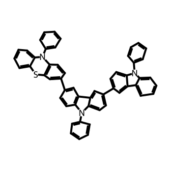 c1ccc(N2c3ccccc3Sc3cc(-c4ccc5c(c4)c4cc(-c6ccc7c(c6)c6ccccc6n7-c6ccccc6)ccc4n5-c4ccccc4)ccc32)cc1